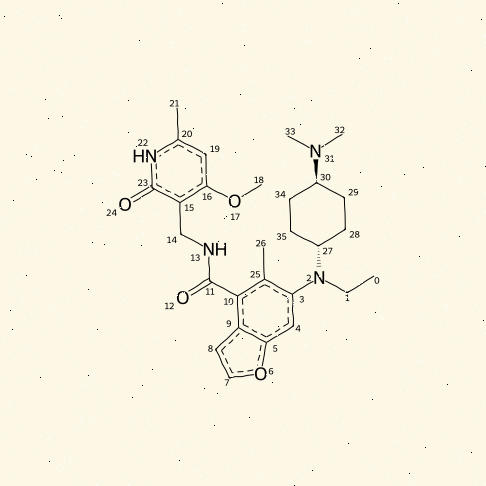 CCN(c1cc2occc2c(C(=O)NCc2c(OC)cc(C)[nH]c2=O)c1C)[C@H]1CC[C@H](N(C)C)CC1